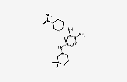 CC1(C)CC(Nc2ncc(N)c(N[C@H]3CC[C@H](C(N)=O)CC3)n2)CCO1